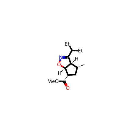 CCC(CC)C1=NO[C@H]2[C@@H]1[C@H](C)C[C@@H]2C(=O)OC